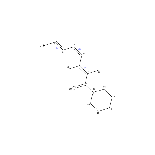 CC(/C=C\C=C\F)=C(/C)C(=O)N1CCCCC1